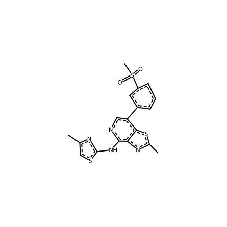 Cc1csc(Nc2ncc(-c3cccc(S(C)(=O)=O)c3)c3sc(C)nc23)n1